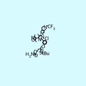 Cc1noc(C)c1-c1nc(-c2cc(OCC(CCOC(N)=O)O[Si](C)(C)C(C)(C)C)ccc2Cl)nc(N2CC3=C(CN(CC(F)(F)F)CC3)C2)c1C